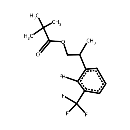 [2H]c1c(C(C)COC(=O)C(C)(C)C)cccc1C(F)(F)F